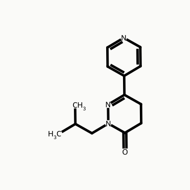 CC(C)CN1N=C(c2ccncc2)CCC1=O